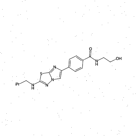 CC(C)CNc1nn2cc(-c3ccc(C(=O)NCCO)cc3)nc2s1